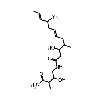 C/C=C/C(O)C/C=C/CC(C)C(O)CC(=O)NCC(O)C(C)C(N)=O